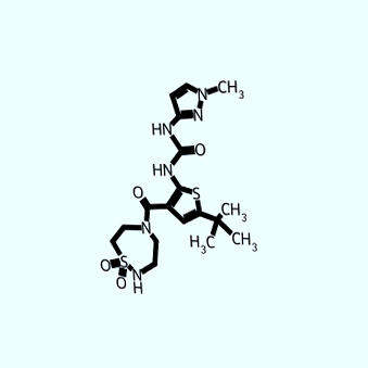 Cn1ccc(NC(=O)Nc2sc(C(C)(C)C)cc2C(=O)N2CCNS(=O)(=O)CC2)n1